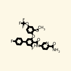 COc1cc(OC(F)(F)F)ccc1Oc1cc(-c2ccc(F)cc2)cc(F)c1C(=O)Nc1ccc(C(N)=O)nc1